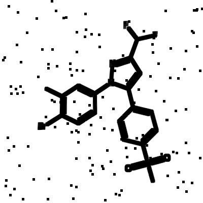 Cc1cc(-n2nc(C(F)F)cc2-c2ccc(S(C)(=O)=O)cc2)ccc1Br